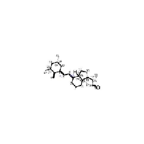 C=C1/C(=C/C=C2\CCC[C@]3(C)[C@@H]([C@H](C)C=O)CC[C@@H]23)C[C@@H](C)C[C@@H]1C